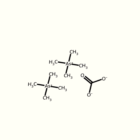 C[As+](C)(C)C.C[As+](C)(C)C.O=C([O-])[O-]